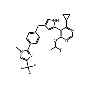 Cn1cc(C(F)(F)F)nc1-c1ccc(Cc2c[nH]c(-c3c(OC(F)F)ncnc3C3CC3)c2)cc1